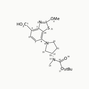 COc1nc2c(C(=O)O)ccc(N3CC[C@H](N(C)C(=O)OC(C)(C)C)C3)c2s1